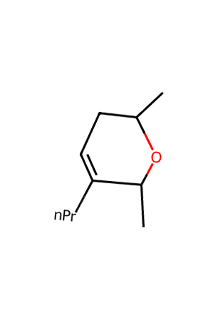 [CH2]CCC1=CCC(C)OC1C